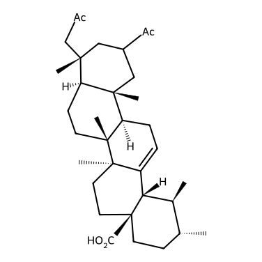 CC(=O)C[C@]1(C)CC(C(C)=O)C[C@]2(C)[C@H]3CC=C4[C@@H]5[C@@H](C)[C@H](C)CC[C@]5(C(=O)O)CC[C@@]4(C)[C@]3(C)CC[C@@H]12